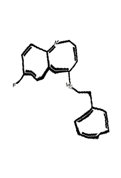 Fc1ccc2nccc(NCc3ccccc3)c2c1